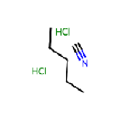 C#N.CCCCC.Cl.Cl